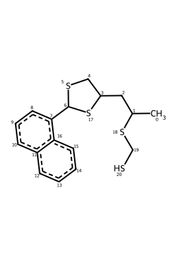 CC(CC1CSC(c2cccc3ccccc23)S1)SCS